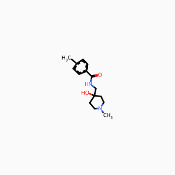 Cc1ccc(C(=O)NCC2(O)CCN(C)CC2)cc1